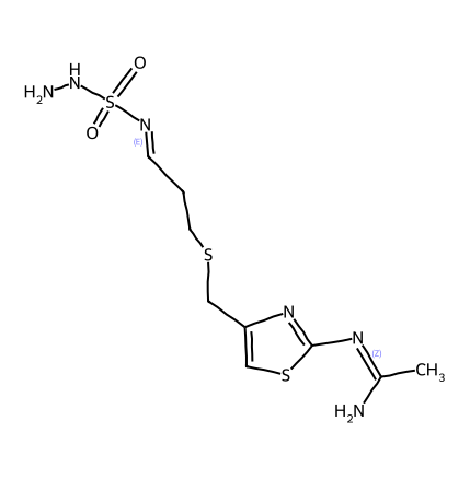 C/C(N)=N/c1nc(CSCC/C=N/S(=O)(=O)NN)cs1